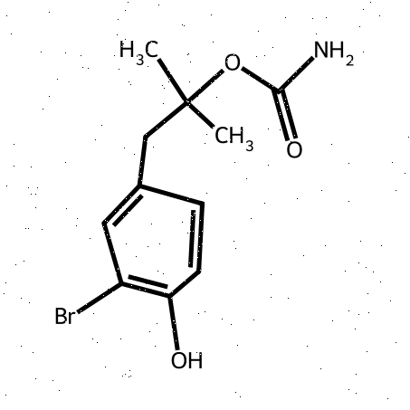 CC(C)(Cc1ccc(O)c(Br)c1)OC(N)=O